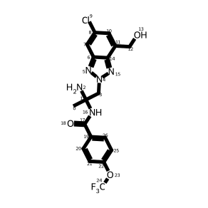 CC(N)(Cn1nc2cc(Cl)cc(CO)c2n1)NC(=O)c1ccc(OC(F)(F)F)cc1